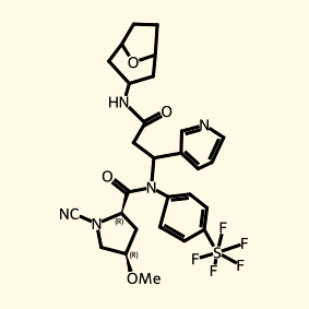 CO[C@@H]1C[C@H](C(=O)N(c2ccc(S(F)(F)(F)(F)F)cc2)C(CC(=O)NC2CC3CCC(C2)O3)c2cccnc2)N(C#N)C1